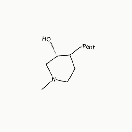 CCCC(C)C1CCN(C)C[C@@H]1O